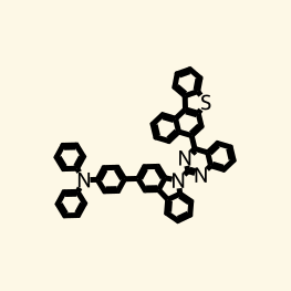 c1ccc(N(c2ccccc2)c2ccc(-c3ccc4c(c3)c3ccccc3n4-c3nc(-c4cc5sc6ccccc6c5c5ccccc45)c4ccccc4n3)cc2)cc1